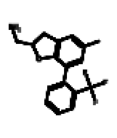 Cc1cc2c(c(-c3ccccc3C(F)(F)F)c1)OC(CN)C2